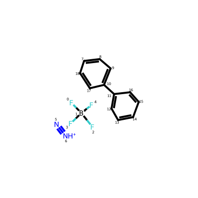 F[B-](F)(F)F.N#[NH+].c1ccc(-c2ccccc2)cc1